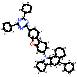 c1ccc(-c2nc(-c3ccccc3)nc(-c3ccc4c(c3)oc3cc(-n5c6ccccc6c6cc(-c7ccccc7)c7ccccc7c65)ccc34)n2)cc1